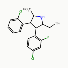 CC(C)(C)CC1NC(C(=O)O)C(c2ccccc2Cl)C1c1ccc(Cl)cc1F